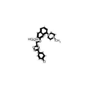 CN1CCN(c2cccc3ccc(OCc4nc(-c5ccc(Cl)cc5)no4)cc23)CC1.Cl.Cl